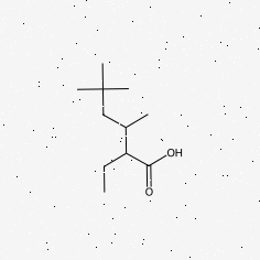 CCC(C(=O)O)C(C)CC(C)(C)C